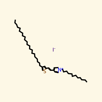 CCCCCCCCCCCCCCCCCCCCCCc1csc(C=Cc2cc[n+](CCCCCCCCCCCC)cc2)c1.[I-]